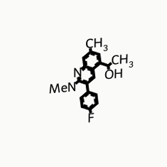 CNc1nc2cc(C)cc(C(C)O)c2cc1-c1ccc(F)cc1